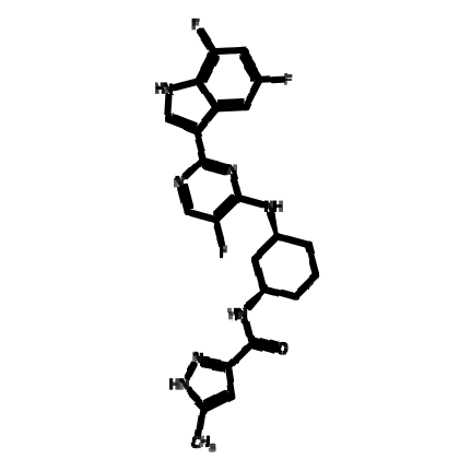 Cc1cc(C(=O)N[C@@H]2CCC[C@H](Nc3nc(-c4c[nH]c5c(F)cc(F)cc45)ncc3F)C2)n[nH]1